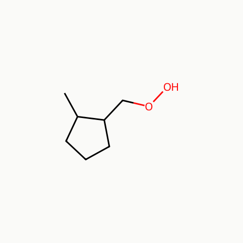 CC1CCCC1COO